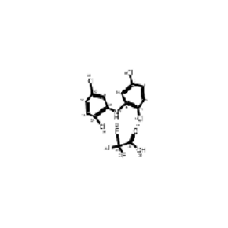 Clc1ccc(Cl)c(Nc2cc(Cl)ccc2Cl)c1.O=C(O)C(F)(F)F